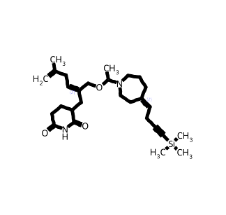 C=C(C)C/C=C(\COC(C)N1CCC/C(=C/CC#C[Si](C)(C)C)CC1)CC1CCC(=O)NC1=O